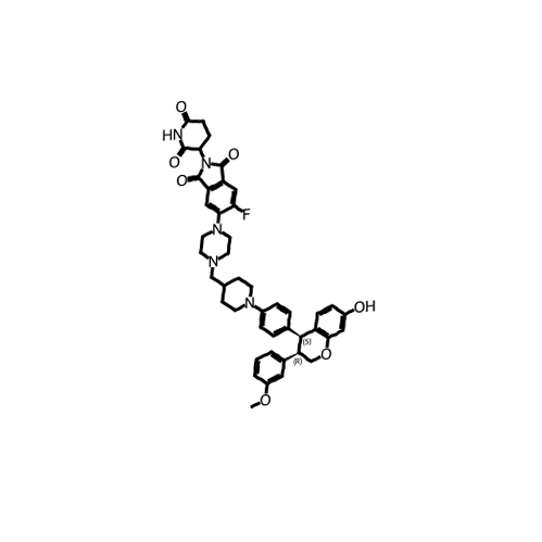 COc1cccc([C@@H]2COc3cc(O)ccc3[C@@H]2c2ccc(N3CCC(CN4CCN(c5cc6c(cc5F)C(=O)N(C5CCC(=O)NC5=O)C6=O)CC4)CC3)cc2)c1